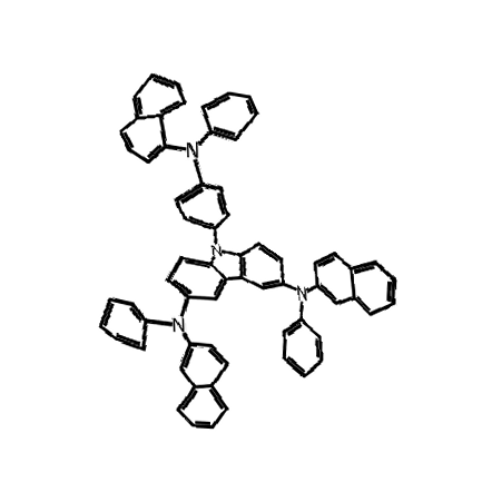 c1ccc(N(c2ccc3ccccc3c2)c2ccc3c(c2)c2cc(N(c4ccccc4)c4ccc5ccccc5c4)ccc2n3-c2ccc(N(c3ccccc3)c3cccc4ccccc34)cc2)cc1